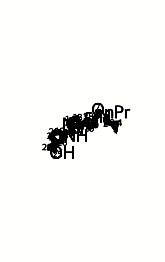 CCCN(CC1CC1)C(=O)c1ccc(-c2ccnc(Nc3cccc(C(C)O)c3)n2)s1